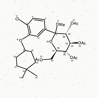 COC1(c2ccc(Cl)c(OC3CCC(C)(C)CC3)c2)O[C@H](COC(C)=O)[C@@H](OC(C)=O)[C@H](OC(C)=O)[C@H]1OC(C)=O